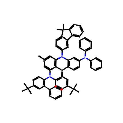 Cc1cc2c3c(c1)N(c1ccc(C(C)(C)C)cc1-c1ccccc1)c1ccc(C(C)(C)C)cc1B3c1ccc(N(c3ccccc3)c3ccccc3)cc1N2c1ccc2c(c1)-c1ccccc1C2(C)C